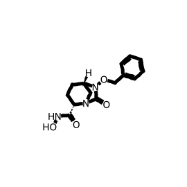 O=C(NO)[C@@H]1CC[C@H]2CN1C(=O)N2OCc1ccccc1